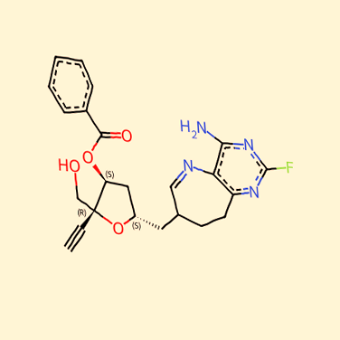 C#C[C@]1(CO)O[C@@H](CC2C=Nc3c(N)nc(F)nc3CC2)C[C@@H]1OC(=O)c1ccccc1